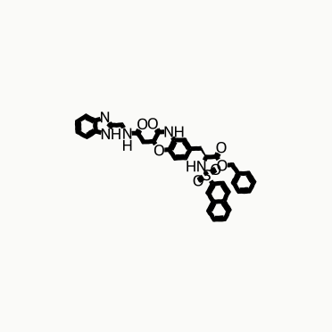 O=C(CC1Oc2ccc(C[C@H](NS(=O)(=O)c3ccc4ccccc4c3)C(=O)OCc3ccccc3)cc2NC1=O)NCc1nc2ccccc2[nH]1